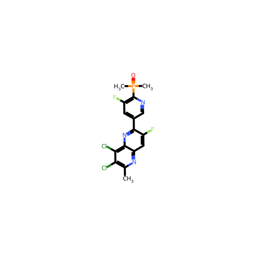 Cc1nc2cc(F)c(-c3cnc(P(C)(C)=O)c(F)c3)nc2c(Cl)c1Cl